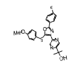 COc1ccc(Sc2oc(-c3ccc(F)cc3)nc2-c2cnc(C(C)(C)O)cn2)cc1